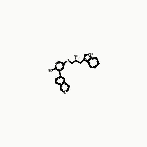 N#Cc1ncc(OC[C@H](N)Cc2c[nH]c3ccccc23)cc1-c1ccc2cnccc2c1